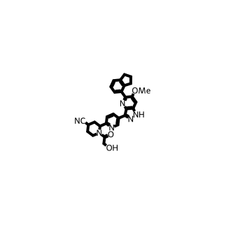 COc1cc2[nH]nc(-c3ccc(C4CC(C#N)CCN4C(=O)CO)nc3)c2nc1-c1cccc2c1CCC2